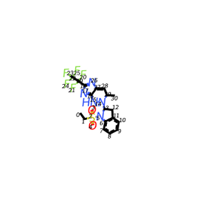 CCS(=O)(=O)N1c2ccccc2CC1N1NC2=NC(C(F)(F)C(F)(F)F)=NC2=CC1C